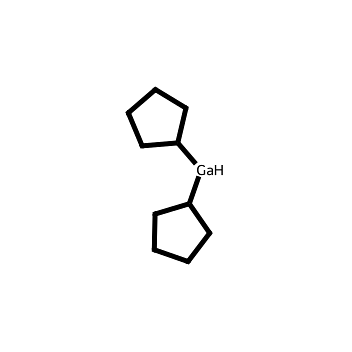 C1CC[CH]([GaH][CH]2CCCC2)C1